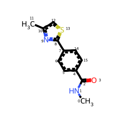 CNC(=O)c1ccc(-c2nc(C)cs2)cc1